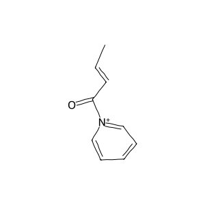 CC=CC(=O)[n+]1ccccc1